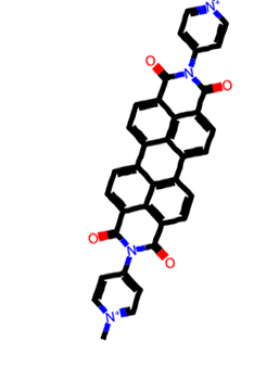 C[n+]1ccc(N2C(=O)c3ccc4c5ccc6c7c(ccc(c8ccc(c3c48)C2=O)c75)C(=O)N(c2cc[n+](C)cc2)C6=O)cc1